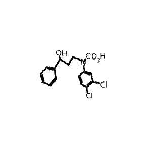 O=C(O)N(CC[C@H](O)c1ccccc1)c1ccc(Cl)c(Cl)c1